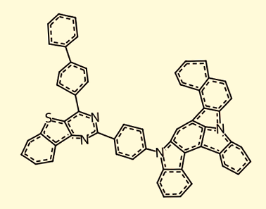 c1ccc(-c2ccc(-c3nc(-c4ccc(-n5c6ccccc6c6c7c8ccccc8n8c9ccc%10ccccc%10c9c(cc65)c78)cc4)nc4c3sc3ccccc34)cc2)cc1